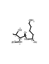 CC(=O)[C@H](CCCCN)NC(=O)[C@@H](NC(C)C)C(C)O